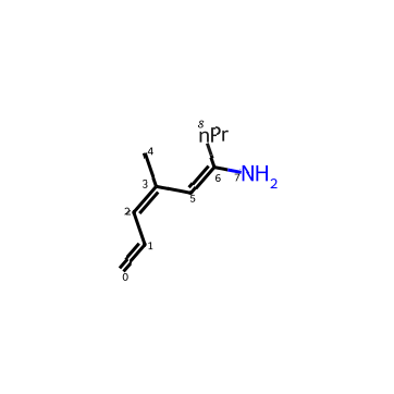 C=C/C=C(C)\C=C(\N)CCC